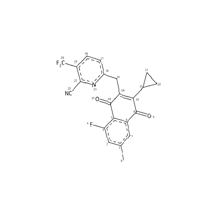 Cc1cc(F)c2c(c1)C(=O)C(C1CC1)=C(Cc1ccc(C(F)(F)F)c(C#N)n1)C2=O